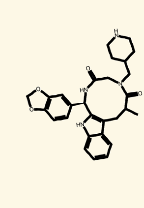 CC1Cc2c([nH]c3ccccc23)[C@@H](c2ccc3c(c2)OCO3)NC(=O)CN(CC2CCNCC2)C1=O